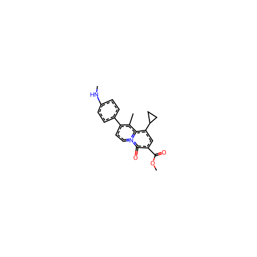 CNc1ccc(-c2ccn3c(=O)c(C(=O)OC)cc(C4CC4)c3c2C)cc1